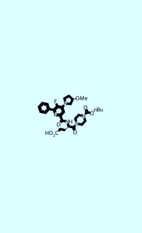 CCCCOC(=O)N1CCN(C(=O)[C@H](CCC(=O)O)NC(=O)c2cc(N3CC[C@H](OC)C3)c(F)c(-c3ccccc3)n2)CC1